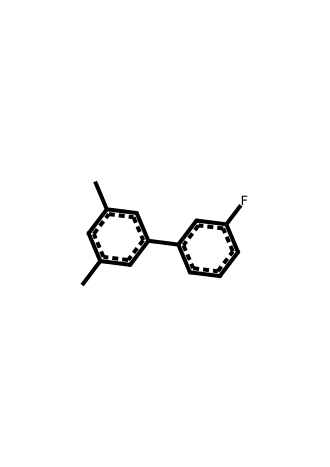 Cc1cc(C)cc(-c2cccc(F)c2)c1